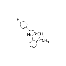 CSc1ccccc1-c1nc(-c2ccc(F)cc2)cn1C